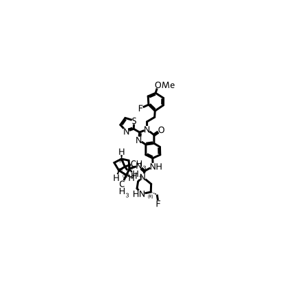 COc1ccc(CCn2c(-c3nccs3)nc3cc(NC(=N[C@H]4C[C@H]5C[C@@H]([C@@H]4C)C5(C)C)N4CCN[C@@H](CF)C4)ccc3c2=O)c(F)c1